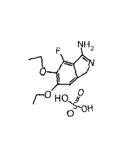 CCOc1cc2c(c(F)c1OCC)C(N)=NC2.O=S(=O)(O)O